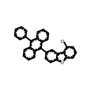 Clc1cccc2oc3ccc(-c4c5ccccc5c(-c5ccccc5)c5ccccc45)cc3c12